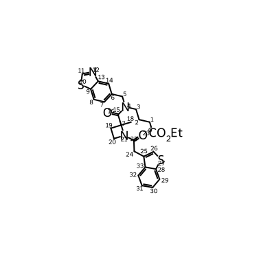 CCOC(=O)CCCN(Cc1ccc2scnc2c1)C(=O)C1(C)CCN1C(=O)Cc1csc2ccccc12